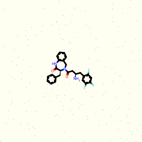 N[C@@H](CC(=O)N1Cc2ccccc2NC(=O)[C@@H]1Cc1ccccc1)Cc1cc(F)c(F)cc1F